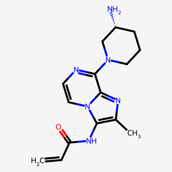 C=CC(=O)Nc1c(C)nc2c(N3CCC[C@@H](N)C3)nccn12